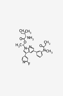 C=CC(=O)N(C)c1cccc(-c2cnc3c(c2)c(-c2ccnc(F)c2)cn3C(C)OC(=O)[C@@H](N)[C@@H](C)CC)c1